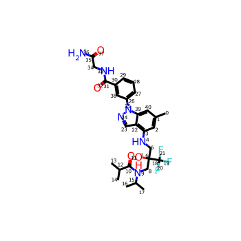 Cc1cc(NCC(O)(CN(C(=O)C(C)C)C(C)C)C(F)(F)F)c2cnn(-c3cccc(C(=O)NCC(N)=O)c3)c2c1